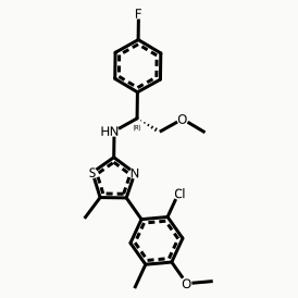 COC[C@H](Nc1nc(-c2cc(C)c(OC)cc2Cl)c(C)s1)c1ccc(F)cc1